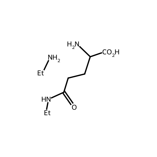 CCN.CCNC(=O)CCC(N)C(=O)O